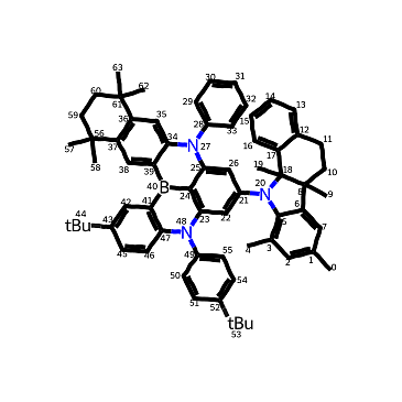 Cc1cc(C)c2c(c1)C1(C)CCc3ccccc3C1(C)N2c1cc2c3c(c1)N(c1ccccc1)c1cc4c(cc1B3c1cc(C(C)(C)C)ccc1N2c1ccc(C(C)(C)C)cc1)C(C)(C)CCC4(C)C